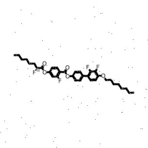 CCCCCCCCOc1ccc(-c2ccc(OC(=O)c3ccc(OC(=O)[C@@H](F)CCCCCC)cc3F)cc2)c(F)c1F